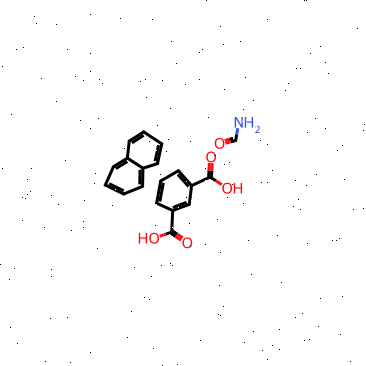 NC=O.O=C(O)c1cccc(C(=O)O)c1.c1ccc2ccccc2c1